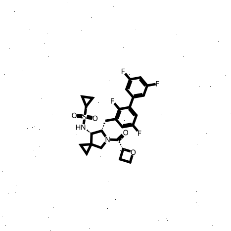 O=C([C@H]1CCO1)N1CC2(CC2)[C@H](NS(=O)(=O)C2CC2)[C@@H]1Cc1cc(F)cc(-c2cc(F)cc(F)c2)c1F